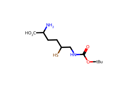 CC(C)(C)OC(=O)NCC(S)CCC(N)C(=O)O